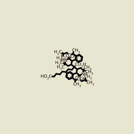 C=C(C)COC(C)c1ccccc1C1C(C(CCCCCCCC(=O)O)(C(=O)O)C2CC(C)(C)NC(C)(C)C2c2ccccc2C(C)OCC(=C)C)CC(C)(C)NC1(C)C